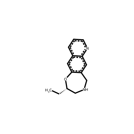 CC[C@H]1CNCc2cc3ncccc3cc2O1